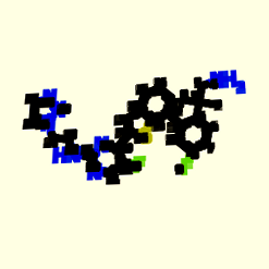 CC(C)(CN)c1ccc(F)cc1-c1cccc2cc(-c3nc(NCCn4ccnn4)ncc3F)sc12